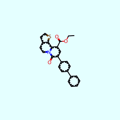 CCOC(=O)c1cc(-c2ccc(-c3ccccc3)cc2)c(=O)n2ccc3ccsc3c12